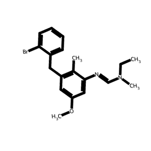 CCN(C)C=Nc1cc(OC)cc(Cc2ccccc2Br)c1C